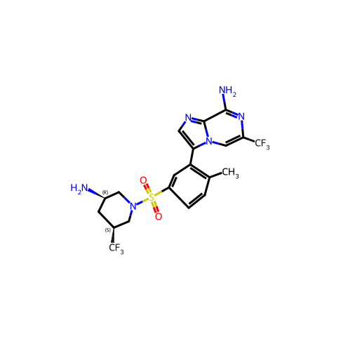 Cc1ccc(S(=O)(=O)N2C[C@H](N)C[C@H](C(F)(F)F)C2)cc1-c1cnc2c(N)nc(C(F)(F)F)cn12